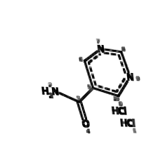 Cl.Cl.NC(=O)c1cncnc1